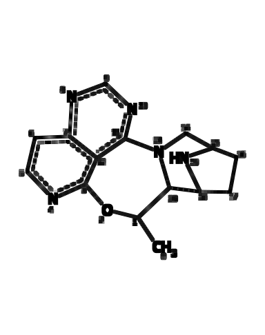 CC1Oc2nccc3ncnc(c23)N2CC3CCC(N3)C12